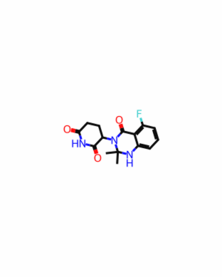 CC1(C)Nc2cccc(F)c2C(=O)N1C1CCC(=O)NC1=O